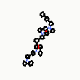 C1=CC2c3ccccc3N(c3ccccc3-c3ccc(N(c4ccccc4)c4cccc(-c5ccc(-c6ccccc6)cc5)c4)cc3)C2C=C1c1cccc(-c2ccc(N(c3ccc(-c4cccc(-n5c6ccccc6c6ccccc65)c4)cc3)c3ccccc3-c3ccccc3)cc2)c1